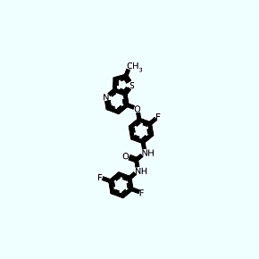 Cc1cc2nccc(Oc3ccc(NC(=O)Nc4cc(F)ccc4F)cc3F)c2s1